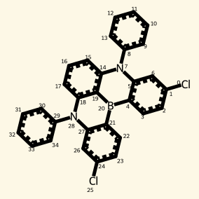 Clc1ccc2c(c1)N(c1ccccc1)c1cccc3c1B2c1ccc(Cl)cc1N3c1ccccc1